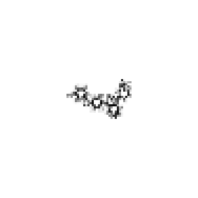 CC(=O)N1CCCC(n2nc(-c3ccc(Oc4cccc(C)c4)cc3)c3cnccc32)C1